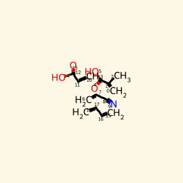 C=C(C)C(=O)O.C=CC#N.C=CC(=O)O.C=CC=C